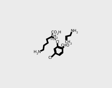 C=CCN.NCCCC[C@H](N)C(=O)O.O=Cc1ccc(Cl)cc1Cl